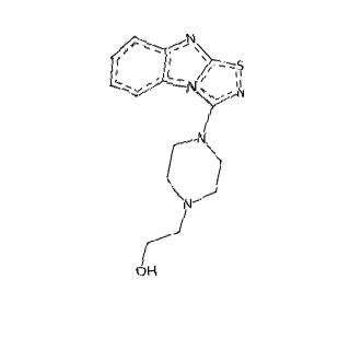 OCCN1CCN(c2nsc3nc4ccccc4n23)CC1